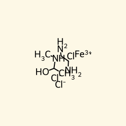 CNC(C)O.NCCN.[Cl-].[Cl-].[Cl-].[Fe+3]